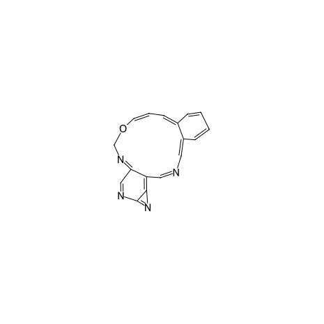 C1=COCN=c2cnc3c(c2C=NC=c2ccccc2=C1)N=3